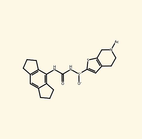 CC(=O)N1CCc2cc([S+]([O-])NC(=O)Nc3c4c(cc5c3CCC5)CCC4)sc2C1